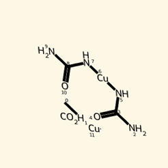 CC(=O)O.NC(=O)[NH][Cu][NH]C(N)=O.[Cu]